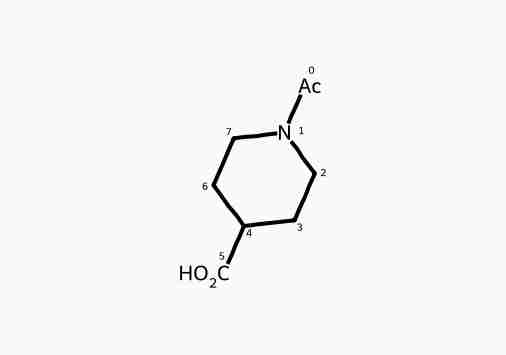 [CH2]C(=O)N1CCC(C(=O)O)CC1